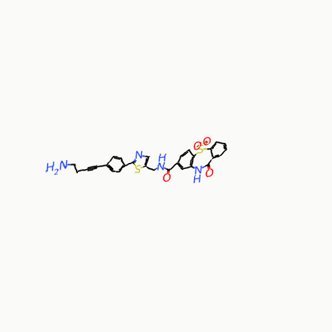 NCCC#Cc1ccc(-c2ncc(CNC(=O)c3ccc4c(c3)NC(=O)c3ccccc3S4(=O)=O)s2)cc1